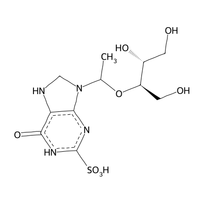 CC(O[C@H](CO)[C@H](O)CO)N1CNc2c1nc(S(=O)(=O)O)[nH]c2=O